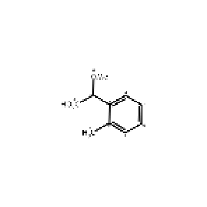 COC(C(=O)O)c1ccccc1C